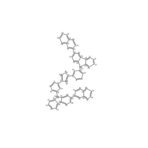 c1cc(-c2nsc(-c3cccc(-n4c5ccccc5c5cc(-c6ccc7ccccc7c6)ccc54)c3)n2)cc(-n2c3ccccc3c3ccc(-c4ccc5ccccc5c4)cc32)c1